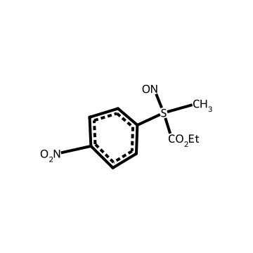 CCOC(=O)S(C)(N=O)c1ccc([N+](=O)[O-])cc1